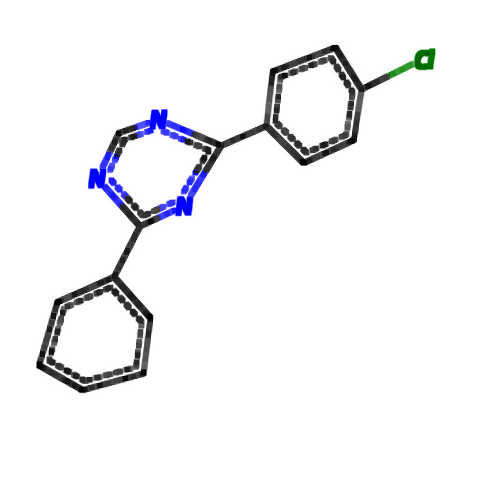 Clc1ccc(-c2ncnc(-c3ccccc3)n2)cc1